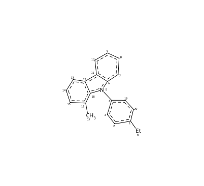 CCc1ccc(-n2c3ccccc3c3cccc(C)c32)cc1